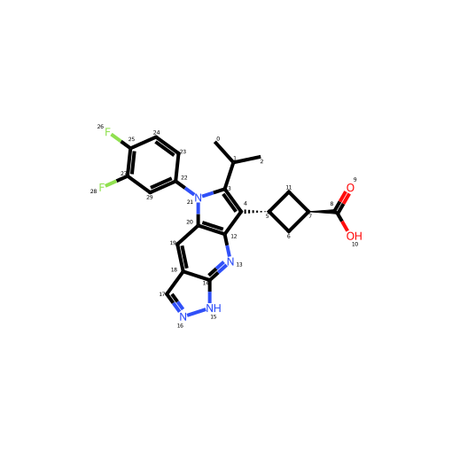 CC(C)c1c([C@H]2C[C@H](C(=O)O)C2)c2nc3[nH]ncc3cc2n1-c1ccc(F)c(F)c1